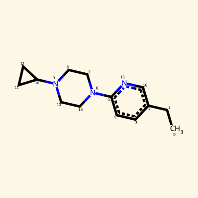 CCc1ccc(N2CCN(C3CC3)CC2)nc1